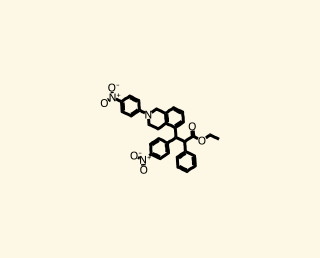 CCOC(=O)C(c1ccccc1)C(c1ccc([N+](=O)[O-])cc1)c1cccc2c1CCN(c1ccc([N+](=O)[O-])cc1)C2